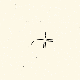 [O]S(=O)(=O)O[N+](=O)[O-]